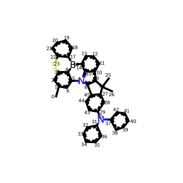 Cc1cc2c3c(c1)-n1c4c(c5cccc(c51)B3c1ccccc1S2)C(C)(C)c1cc(N(c2ccccc2)c2ccccc2)ccc1-4